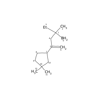 BC(C)(CC)CC(=C)C1CCC(C)(C)C1